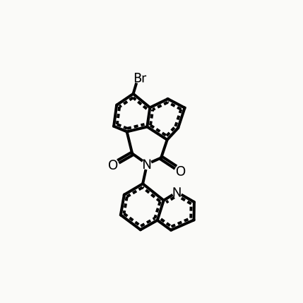 O=C1c2cccc3c(Br)ccc(c23)C(=O)N1c1cccc2cccnc12